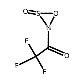 O=C(N1OS1=O)C(F)(F)F